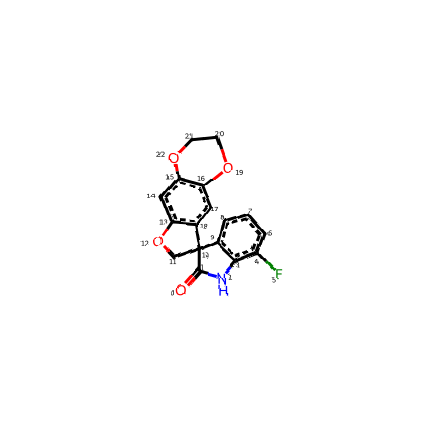 O=C1Nc2c(F)cccc2C12COc1cc3c(cc12)OCCO3